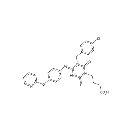 O=C(O)CCCn1c(=O)[nH]/c(=N\c2ccc(Oc3ccccn3)cc2)n(Cc2ccc(Cl)cc2)c1=O